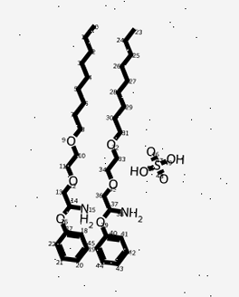 CCCCCCCCCOCCOCC(N)Oc1ccccc1.CCCCCCCCCOCCOCC(N)Oc1ccccc1.O=S(=O)(O)O